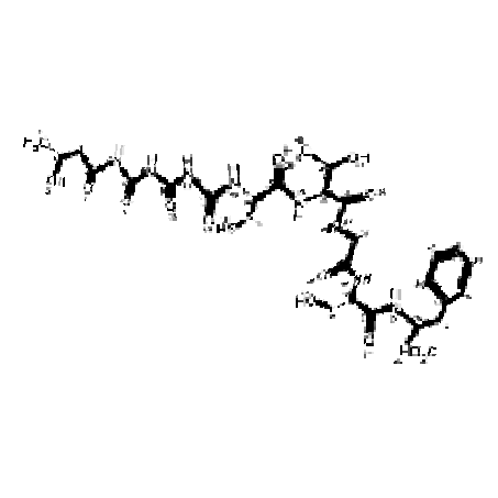 C[C@@H](O)CC(=O)NC(=O)NC(=O)NC(=O)N[C@@H](SS)C(=O)N[C@H](C(=O)NCC(=O)N[C@@H](CO)C(=O)NC(Cc1ccccc1)C(=O)O)[C@@H](C)O